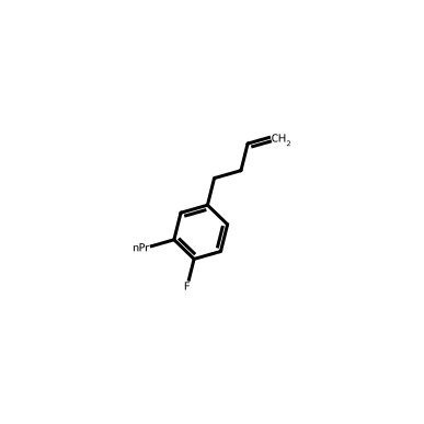 [CH2]CCc1cc(CCC=C)ccc1F